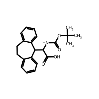 CC(C)(C)OC(=O)NC(C(=O)O)C1c2ccccc2CCc2ccccc21